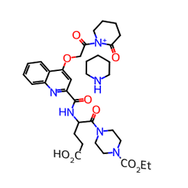 CCOC(=O)N1CCN(C(=O)C(CCC(=O)O)NC(=O)c2cc(OCC(=O)[N@+]3(C4CCNCC4)CCCCC3=O)c3ccccc3n2)CC1